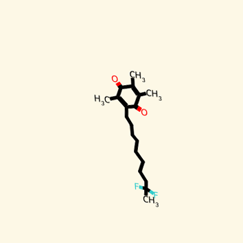 CC1=C(C)C(=O)C(CCCCCCCCC(C)(F)F)=C(C)C1=O